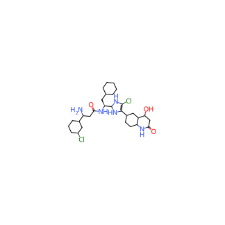 NC(CC(=O)N[C@@H](CC1CCCCC1)C1NC(Cl)=C(C2CCC3NC(=O)CC(O)C3C2)N1)C1CCCC(Cl)C1